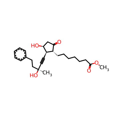 COC(=O)CCCCCC[C@H]1C(=O)C[C@H](O)[C@@H]1C#C[C@@](C)(O)CCc1ccccc1